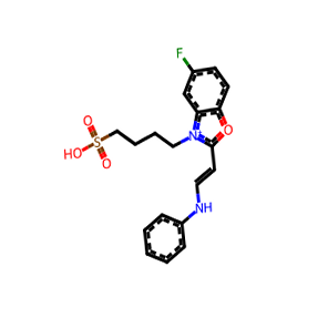 O=S(=O)(O)CCCC[n+]1c(C=CNc2ccccc2)oc2ccc(F)cc21